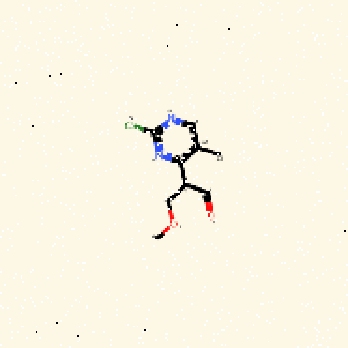 COCC(C=O)c1nc(Cl)ncc1C